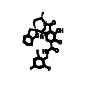 Cc1cc(F)c(CNC(=O)c2cn3c(c(O)c2=O)C(=O)N2C[C@@H]3[C@]3(CC[C@@H]2C)Cc2ccccc2O3)c(F)c1